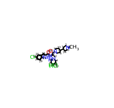 CN1CCC(C2CCN(C(=O)[C@@H](CN3CCCCC3)NC(=O)c3cc4cc(Cl)ccc4[nH]3)CC2)CC1.Cl.Cl